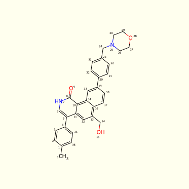 Cc1ccc(-c2c[nH]c(=O)c3c2cc(CO)c2ccc(-c4ccc(CN5CCOCC5)cc4)cc23)cc1